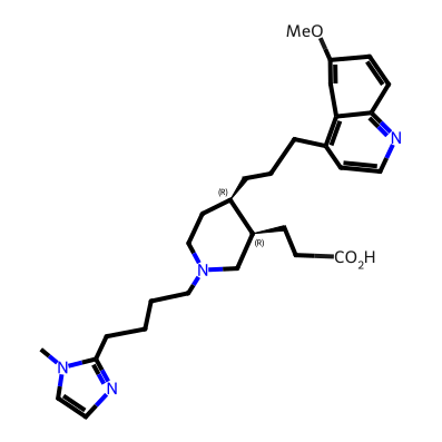 COc1ccc2nccc(CCC[C@@H]3CCN(CCCCc4nccn4C)C[C@@H]3CCC(=O)O)c2c1